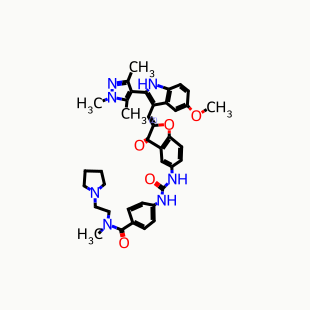 COc1ccc2[nH]c(-c3c(C)nn(C)c3C)c(/C=C3\Oc4ccc(NC(=O)Nc5ccc(C(=O)N(C)CCN6CCCC6)cc5)cc4C3=O)c2c1